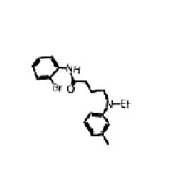 CCN(CCCC(=O)Nc1ccccc1Br)c1cccc(C)c1